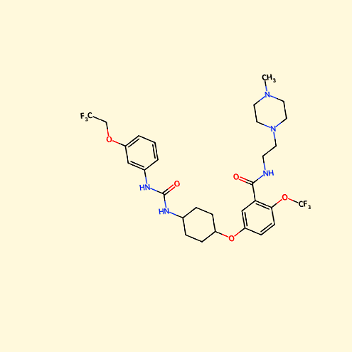 CN1CCN(CCNC(=O)c2cc(OC3CCC(NC(=O)Nc4cccc(OCC(F)(F)F)c4)CC3)ccc2OC(F)(F)F)CC1